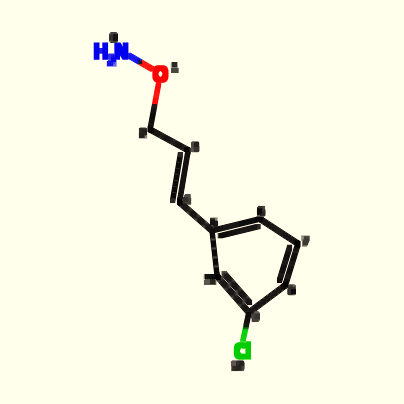 NOC/C=C/c1cccc(Cl)c1